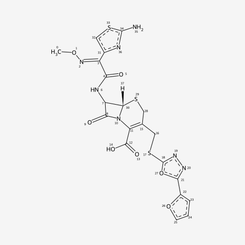 CON=C(C(=O)NC1C(=O)N2C(C(=O)O)=C(CSc3nnc(-c4ccco4)o3)CS[C@@H]12)c1csc(N)n1